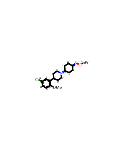 CCCON=C1CCC(N2CCC(c3cc(Cl)ccc3OC)CC2)CC1